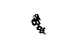 CC1(C)c2cc(C#N)ccc2-c2ccc(-c3cc4c5ccccc5oc4c4ccccc34)cc21